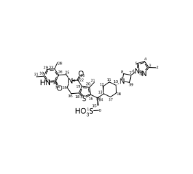 CS(=O)(=O)O.Cc1ccn(C2CN([C@H]3CC[C@H]([C@@H](C)c4sc5c(c4C)C(=O)N(Cc4c(C)cc(C)[nH]c4=O)CC5)CC3)C2)n1